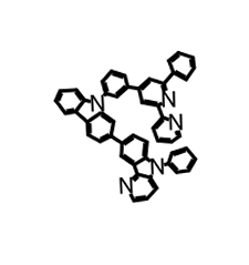 c1ccc(-c2cc(-c3cccc(-n4c5ccccc5c5ccc(-c6ccc7c(c6)c6ncccc6n7-c6ccccc6)cc54)c3)cc(-c3ccccn3)n2)cc1